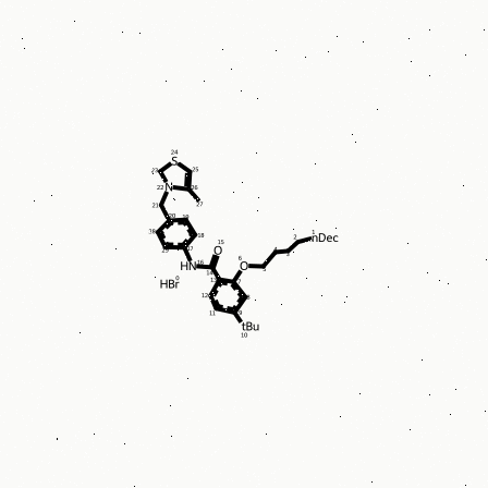 Br.CCCCCCCCCCCCCCOc1cc(C(C)(C)C)ccc1C(=O)Nc1ccc(CN2CSC=C2C)cc1